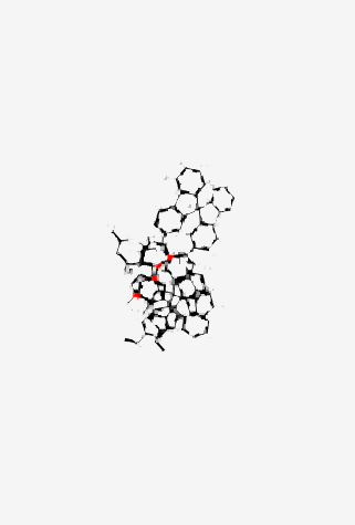 C=Cc1ccc(C2(c3cc(C)ccc3C)c3ccccc3-c3ccc(N(/C(C)=C/C(F)=C\C(=C)F)c4ccc5c(c4)C4(c6ccccc6-5)c5ccccc5-c5ccc(N(c6cc(F)cc(F)c6)c6ccc7c(c6)C(c6ccc(C=C)cc6)(c6cc(C)ccc6C)c6ccccc6-7)cc54)cc32)cc1